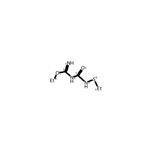 CCOC(=N)NC(=O)NSCC